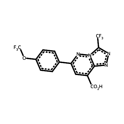 O=C(O)c1cc(-c2ccc(OC(F)(F)F)cc2)nn2c(C(F)(F)F)nnc12